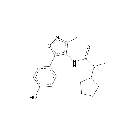 Cc1noc(-c2ccc(O)cc2)c1NC(=O)N(C)C1CCCC1